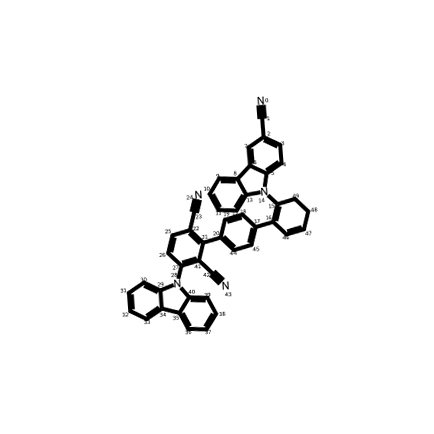 N#Cc1ccc2c(c1)c1ccccc1n2C1=C(c2ccc(-c3c(C#N)ccc(-n4c5ccccc5c5ccccc54)c3C#N)cc2)C=CCC1